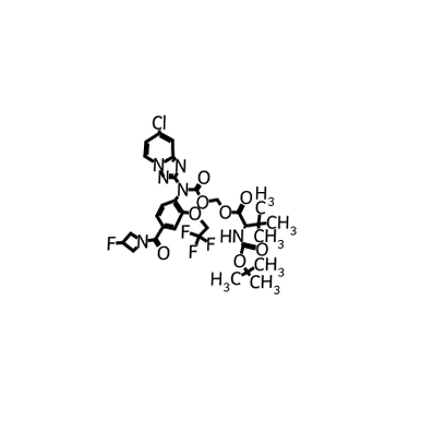 CC(C)(C)OC(=O)N[C@H](C(=O)OCOC(=O)N(c1nc2cc(Cl)ccn2n1)c1ccc(C(=O)N2CC(F)C2)cc1OCC(F)(F)F)C(C)(C)C